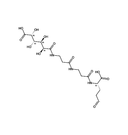 O=[C]CC[C@H](NC(=O)CCNC(=O)CCNC(=O)[C@@H](O)[C@H](O)[C@H](O)[C@@H](O)C(=O)O)C(=O)O